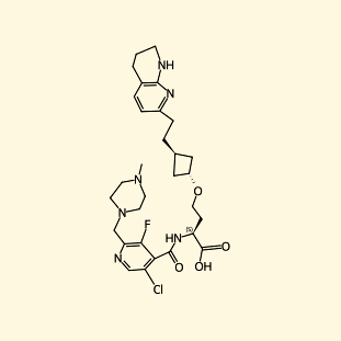 CN1CCN(Cc2ncc(Cl)c(C(=O)N[C@@H](CCO[C@H]3C[C@H](CCc4ccc5c(n4)NCCC5)C3)C(=O)O)c2F)CC1